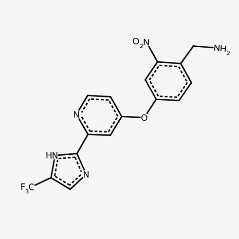 NCc1ccc(Oc2ccnc(-c3ncc(C(F)(F)F)[nH]3)c2)cc1[N+](=O)[O-]